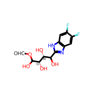 O=COC(O)[C@@H](O)[C@H](O)C(O)c1nc2cc(F)c(F)cc2[nH]1